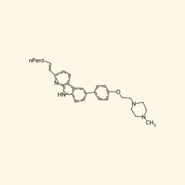 CCCCCC=Cc1ccc2c(n1)[nH]c1ccc(-c3ccc(OCCN4CCN(C)CC4)cc3)cc12